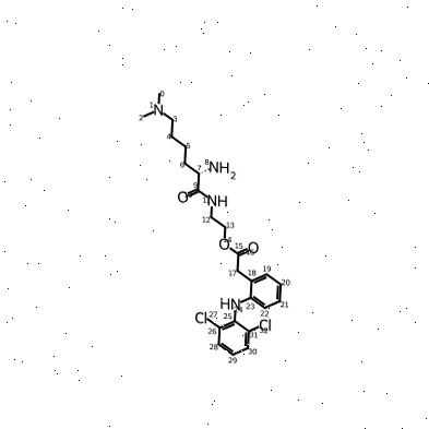 CN(C)CCCC[C@H](N)C(=O)NCCOC(=O)Cc1ccccc1Nc1c(Cl)cccc1Cl